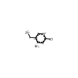 Clc1ccc([CH2][Zn+])cn1.[Br-]